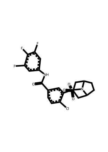 O=C1CC2CCC(C1)N2S(=O)(=O)c1cc(C(=O)Nc2cc(F)c(F)c(F)c2)ccc1Cl